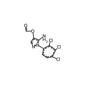 Nc1c(OC=O)cnn1-c1ccc(Cl)c(Cl)c1Cl